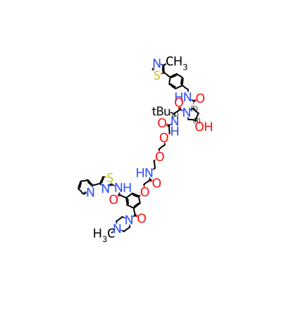 Cc1ncsc1-c1ccc(CNC(=O)[C@@H]2C[C@@H](O)CN2C(=O)[C@@H](NC(=O)COCCOCCNC(=O)COc2cc(C(=O)Nc3nc(-c4ccccn4)cs3)cc(C(=O)N3CCN(C)CC3)c2)C(C)(C)C)cc1